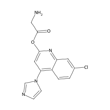 NCC(=O)Oc1cc(-n2ccnc2)c2ccc(Cl)cc2n1